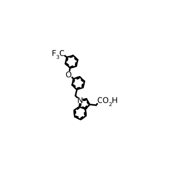 O=C(O)Cc1cn(Cc2cccc(Oc3cccc(C(F)(F)F)c3)c2)c2ccccc12